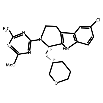 COc1nc(N2CCc3c([nH]c4ccc(Cl)cc34)[C@@H]2C[C@@H]2CCCOC2)nc(C(F)(F)F)n1